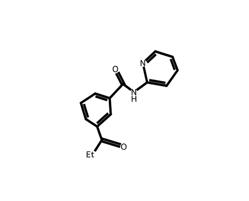 CCC(=O)c1cccc(C(=O)Nc2ccccn2)c1